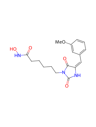 COc1cccc(C=C2NC(=O)N(CCCCCC(=O)NO)C2=O)c1